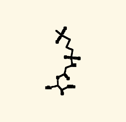 CCCCC(OC(=O)CNS(=O)(=O)CCCS(C)(=O)=O)C(=O)OC